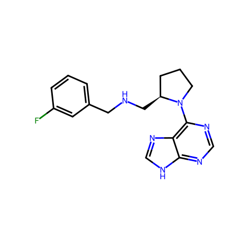 Fc1cccc(CNC[C@H]2CCCN2c2ncnc3[nH]cnc23)c1